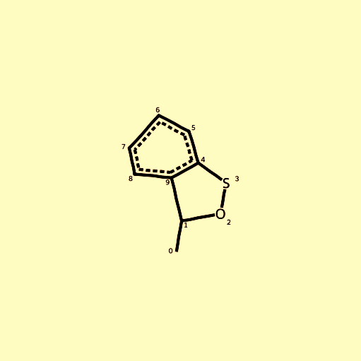 CC1OSc2ccccc21